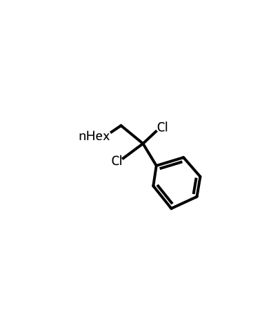 CCCCCCCC(Cl)(Cl)c1ccccc1